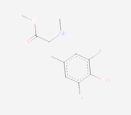 CN[C@H](Cc1cc(Br)c(O)c(Br)c1)C(=O)OC